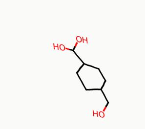 OCC1CCC(C(O)O)CC1